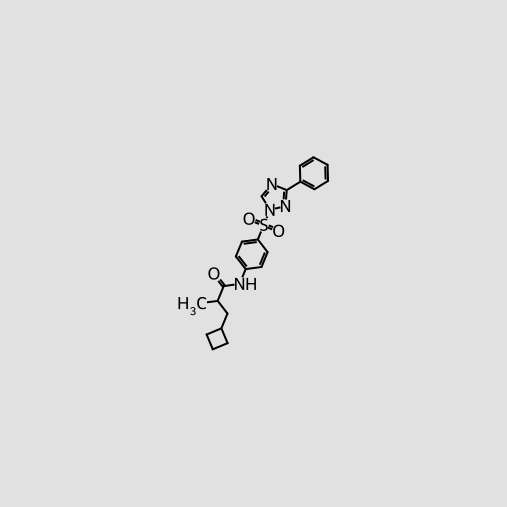 CC(CC1CCC1)C(=O)Nc1ccc(S(=O)(=O)n2cnc(-c3ccccc3)n2)cc1